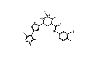 Cc1nn(C)c(C)c1-c1csc(C2CC(C(=O)Nc3ccc(F)c(Cl)c3)N(C)S(=O)(=O)N2)c1